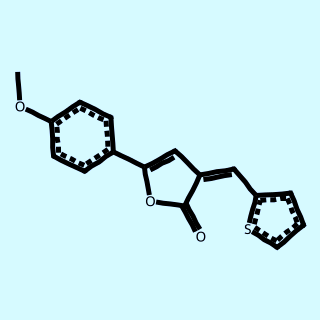 COc1ccc(C2=CC(=Cc3cccs3)C(=O)O2)cc1